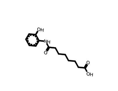 O=C(O)CCCCCCC(=O)Nc1ccccc1O